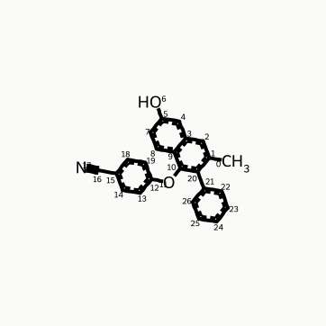 Cc1cc2cc(O)ccc2c(Oc2ccc(C#N)cc2)c1-c1ccccc1